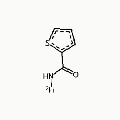 [2H]NC(=O)c1cccs1